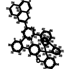 C1=CC2CC(c3cc(-c4ccccc4-c4ccc5c(c4)Oc4ccccc4C54c5ccccc5-c5ccccc54)nc(-c4ccccc4)n3)=CC3=C2C(=C1)CC=C3